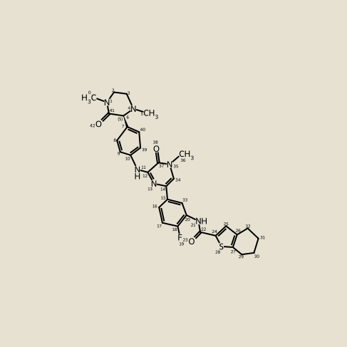 CN1CCN(C)[C@@H](c2ccc(Nc3nc(-c4ccc(F)c(NC(=O)c5cc6c(s5)CCCC6)c4)cn(C)c3=O)cc2)C1=O